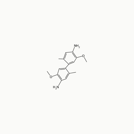 COc1cc(-c2cc(OC)c(N)cc2C)c(C)cc1N